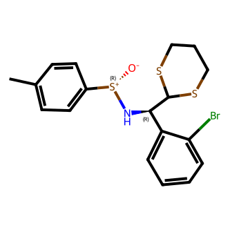 Cc1ccc([S@+]([O-])N[C@H](c2ccccc2Br)C2SCCCS2)cc1